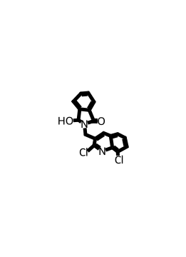 O=C1c2ccccc2C(O)N1Cc1cc2cccc(Cl)c2nc1Cl